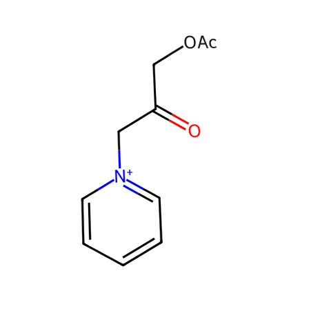 CC(=O)OCC(=O)C[n+]1ccccc1